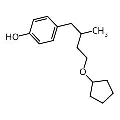 CC(CCOC1CCCC1)Cc1ccc(O)cc1